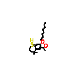 CCCCCCCCOc1cc2c(cc1C(C)=O)C(C)(C)CCC[SH]2